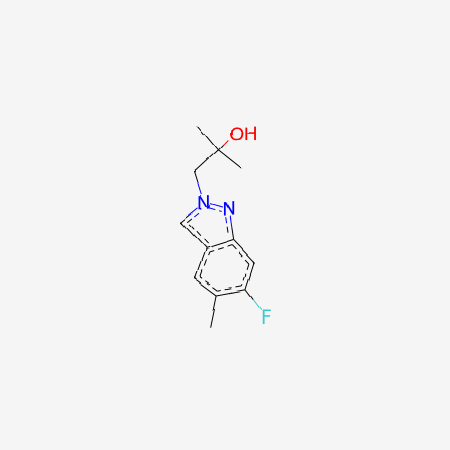 Cc1cc2cn(CC(C)(C)O)nc2cc1F